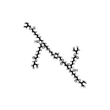 CCC(CC)COC(=O)CCCCCCC(O)CN(CCCCSSCCN1CCN(CCOC(=O)CCCCN(CC(O)CCCCC(=O)OCC(CC)CC)CC(O)CCCCC(=O)OCC(CC)CC)CC1)CC(O)CCCCCCC(=O)OCC(CC)CC